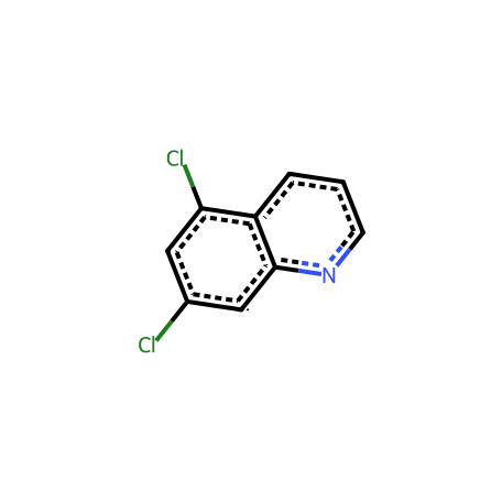 Clc1[c]c2ncccc2c(Cl)c1